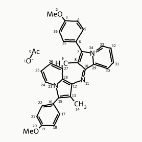 CC(=O)[O-].COc1ccc(C2=C(C)/C(=N\c3c(C)c(-c4ccc(OC)cc4)n4ccccc34)c3cccc[n+]32)cc1